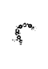 COc1cc(N2CCC3(CCN(C(=O)c4ccc(N5CCN(Cc6ccc(N(C)C)cc6)CC5)cc4)CC3)C2=O)ccc1-c1cn[nH]c1